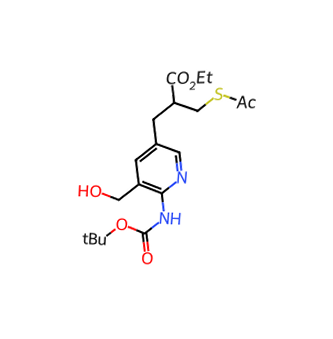 CCOC(=O)C(CSC(C)=O)Cc1cnc(NC(=O)OC(C)(C)C)c(CO)c1